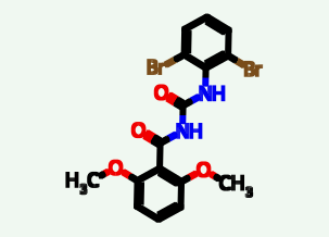 COc1cccc(OC)c1C(=O)NC(=O)Nc1c(Br)cccc1Br